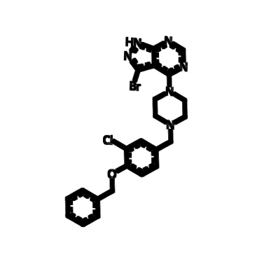 Clc1cc(CN2CCN(c3ncnc4[nH]nc(Br)c34)CC2)ccc1OCc1ccccc1